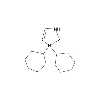 C1=C[N+](C2CCCCC2)(C2CCCCC2)CN1